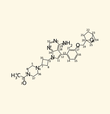 CC(=O)N1CCN(C2CC(n3cc(-c4cccc(OCC56CCC(CC5)O6)c4)c4c(N)ncnc43)C2)CC1